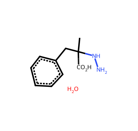 CC(Cc1ccccc1)(NN)C(=O)O.O